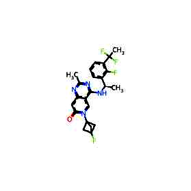 Cc1nc(N[C@H](C)c2cccc(C(C)(F)F)c2F)c2cn(C34CC(F)(C3)C4)c(=O)cc2n1